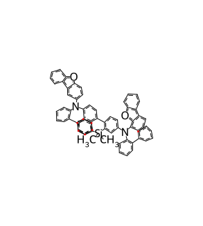 C[Si]1(C)c2cc(N(c3ccccc3-c3ccccc3)c3cccc4c3oc3ccccc34)ccc2-c2ccc(N(c3ccc4oc5ccccc5c4c3)c3ccccc3-c3ccccc3)c3cccc1c23